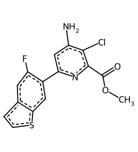 COC(=O)c1nc(-c2cc3sccc3cc2F)cc(N)c1Cl